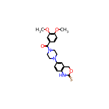 COc1ccc(C(=O)N2CCN(c3ccc4c(c3)COC(=S)N4)CC2)cc1OC